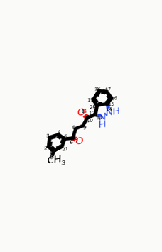 Cc1cccc(C(=O)CCC(=O)C2NNc3ccccc32)c1